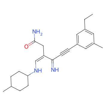 CCc1cc(C)cc(C#CC(=N)/C(=C\NC2CCC(C)CC2)CC(N)=O)c1